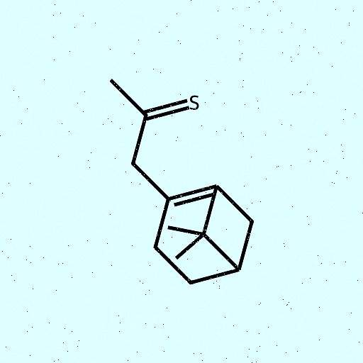 CC(=S)CC1=C2CC(CC1)C2(C)C